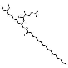 CCCCCCCCCCCCCCCC(=O)OCC(CCCCCC(CC)CC)OC(=O)C(C)CCN(C)C